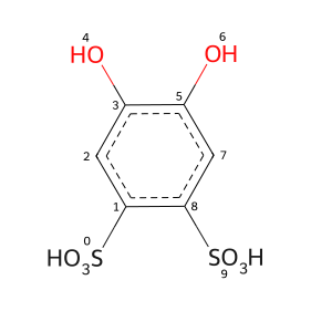 O=S(=O)(O)c1cc(O)c(O)cc1S(=O)(=O)O